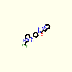 O=C(N[C@H]1CC[C@@H](Nc2cccc3nc(C(F)F)cn23)CC1)c1cc2ccccn2n1